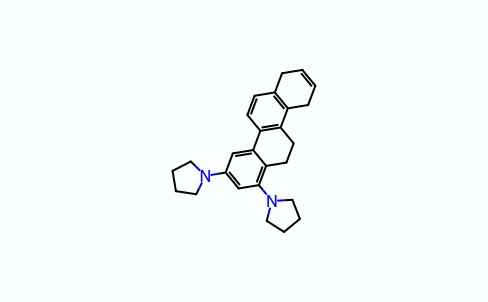 C1=CCc2c(ccc3c2CCc2c-3cc(N3CCCC3)cc2N2CCCC2)C1